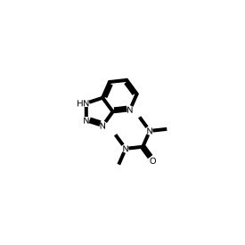 CN(C)C(=O)N(C)C.c1cnc2nn[nH]c2c1